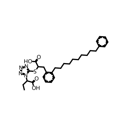 CCC(C(=O)O)n1nnnc1SC(Cc1ccccc1CCCCCCCCCCc1ccccc1)C(=O)O